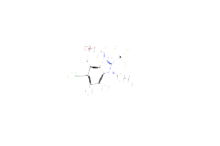 Cn1c(C(F)(F)F)[n+](C)c2c(Cl)c(Cl)c(Cl)c(Cl)c21.[Br-]